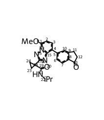 COc1ccc(-c2ccc3c(c2)CCC3=O)c2nc(C3(C(=O)NC(C)C)CC3)nn12